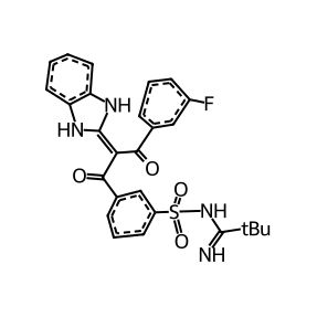 CC(C)(C)C(=N)NS(=O)(=O)c1cccc(C(=O)C(C(=O)c2cccc(F)c2)=C2Nc3ccccc3N2)c1